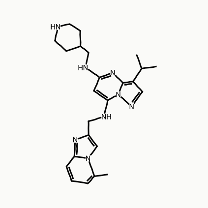 Cc1cccc2nc(CNc3cc(NCC4CCNCC4)nc4c(C(C)C)cnn34)cn12